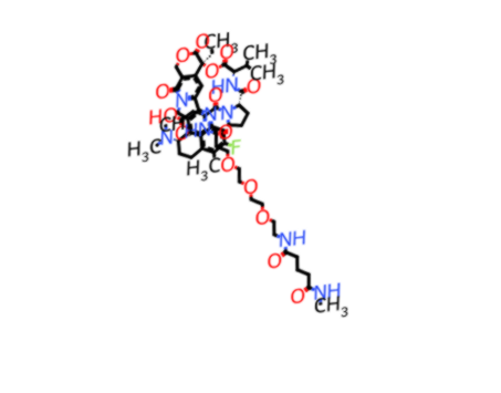 CC[C@@]1(OC(=O)[C@@H](NC(=O)[C@@H]2CCCN2C(=O)[C@H](CC(=O)O)NC(=O)CCOCCOCCOCCNC(=O)CCCC(=O)NC)C(C)C)C(=O)OCc2c1cc1n(c2=O)Cc2c-1nc1cc(F)c(C)c3c1c2[C@@H](N(C)C)CC3